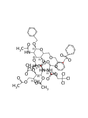 CC(=O)NC1[C@@H](OCc2ccccc2)OC(COCc2ccccc2)[C@@H](O[C@H](C)C(NC(=O)OCC(Cl)(Cl)Cl)C(OC(C)=O)[C@H](OC(C)=O)[C@@H](C)COC(C)=O)[C@@H]1O[C@H](C)C(=O)N[C@@H](C)C(=O)OCCS(=O)(=O)c1ccccc1